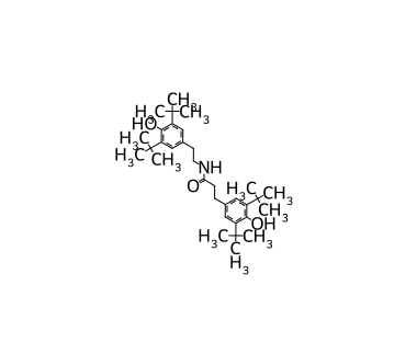 CC(C)(C)c1cc(CCNC(=O)CCc2cc(C(C)(C)C)c(O)c(C(C)(C)C)c2)cc(C(C)(C)C)c1O